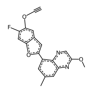 C#COc1cc2cc(-c3cc(C)cc4nc(OC)cnc34)oc2cc1F